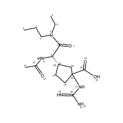 CCCN(CC)C(=O)C(NC(C)=O)[C@H]1CCC(NC(=N)N)(C(=O)O)C1